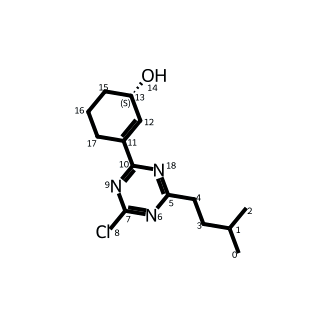 CC(C)CCc1nc(Cl)nc(C2=C[C@@H](O)CCC2)n1